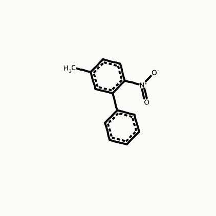 Cc1ccc([N+](=O)[O-])c(-c2ccccc2)c1